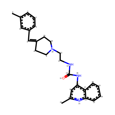 Cc1cccc(C=C2CCN(CCNC(=O)Nc3cc(C)nc4ccccc34)CC2)c1